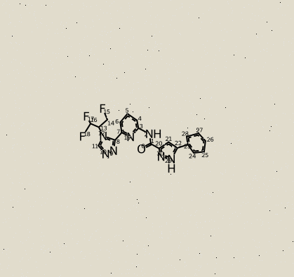 O=C(Nc1cccc(-c2nncn2C(CF)C(F)F)n1)c1cc(-c2ccccc2)[nH]n1